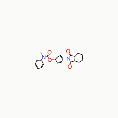 CN(C(=O)Oc1ccc(N2C(=O)C3CCCCC3C2=O)cc1)c1ccccc1